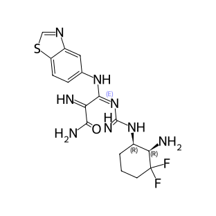 N=C(/N=C(/Nc1ccc2scnc2c1)C(=N)C(N)=O)N[C@@H]1CCCC(F)(F)[C@@H]1N